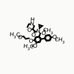 COCCCOc1cc(CN(C(=O)C2CNCCO2)C2CC2)c(-c2ccc(OC)cc2OC)cc1OC